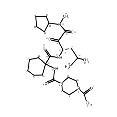 CC(=O)N1CCN(C(=O)NC2(C(=O)N[C@@H](CC(C)C)C(=O)C(=O)N(C)C3CCCC3)CCCCC2)CC1